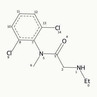 CCNCC(=O)N(C)c1c(Cl)cccc1Cl